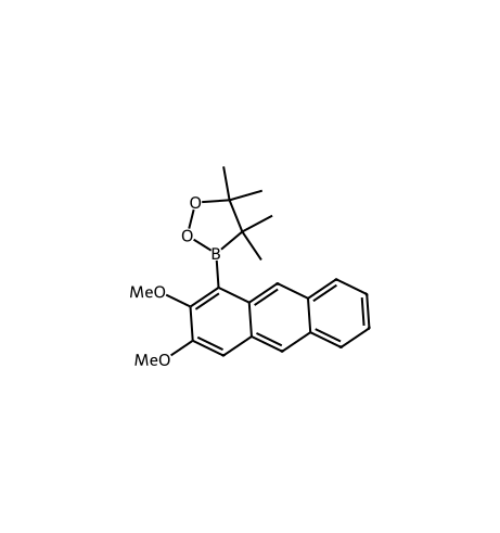 COc1cc2cc3ccccc3cc2c(B2OOC(C)(C)C2(C)C)c1OC